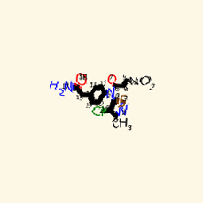 Cc1nsc(N(C(=O)CC[N+](=O)[O-])c2ccc(CC(N)=O)cc2)c1Cl